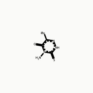 CCC(C)c1n[nH]c(=S)n(N)c1=O